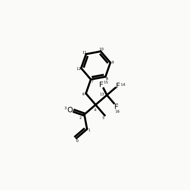 C=CC(=O)C(C)(Cc1ccccc1)C(F)(F)F